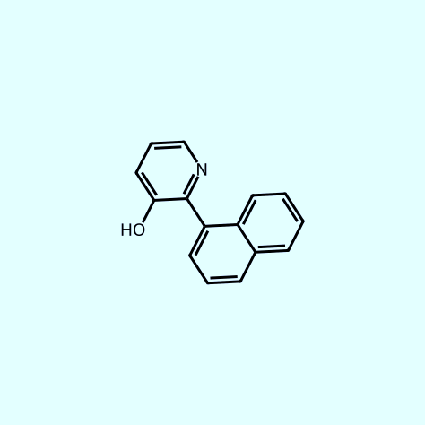 Oc1cccnc1-c1cccc2ccccc12